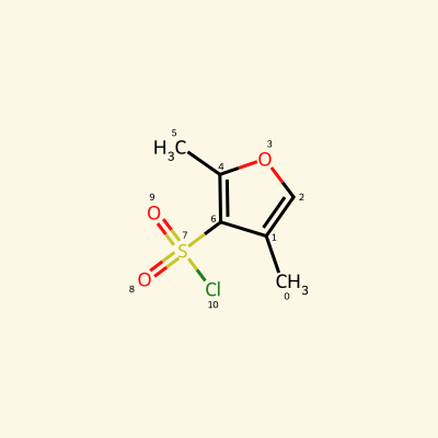 Cc1coc(C)c1S(=O)(=O)Cl